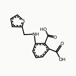 O=C(O)c1cccc(NCc2cccs2)c1C(=O)O